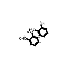 CCCCc1ccccc1C.CCCCc1ccccc1C=O